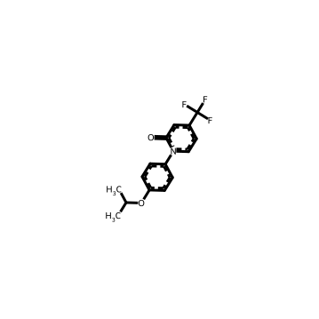 CC(C)Oc1ccc(-n2ccc(C(F)(F)F)cc2=O)cc1